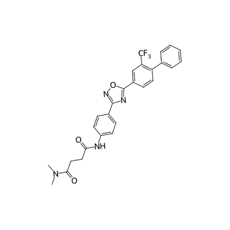 CN(C)C(=O)CCC(=O)Nc1ccc(-c2noc(-c3ccc(-c4ccccc4)c(C(F)(F)F)c3)n2)cc1